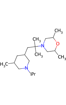 CC1CC(CC(C)(C)N2CC(C)OC(C)C2)CN(C(C)C)C1